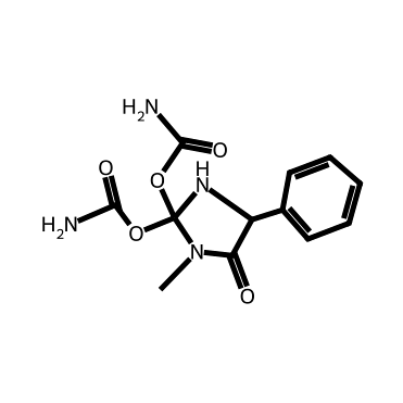 CN1C(=O)C(c2ccccc2)NC1(OC(N)=O)OC(N)=O